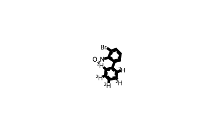 [2H]c1c([2H])c([2H])c(-c2cccc(Br)c2[N+](=O)[O-])c([2H])c1[2H]